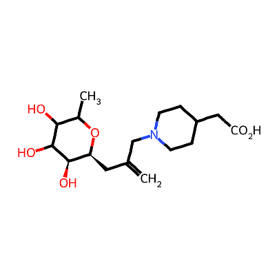 C=C(C[C@@H]1OC(C)C(O)C(O)[C@@H]1O)CN1CCC(CC(=O)O)CC1